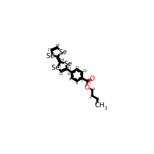 CCCCOC(=O)c1ccc(C2=C[Se]C(=C3[Se]C=C[Se]3)[Se]2)cc1